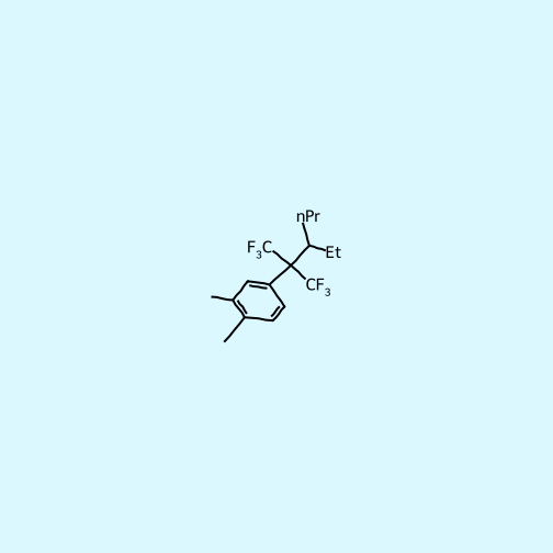 CCCC(CC)C(c1ccc(C)c(C)c1)(C(F)(F)F)C(F)(F)F